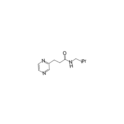 CC(C)CNC(=O)CCc1cnccn1